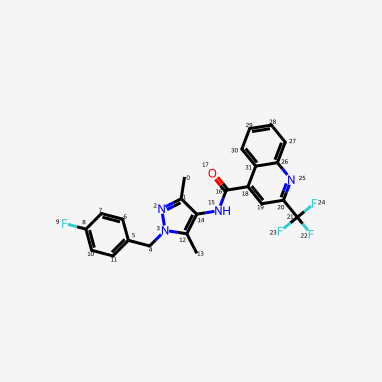 Cc1nn(Cc2ccc(F)cc2)c(C)c1NC(=O)c1cc(C(F)(F)F)nc2ccccc12